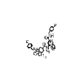 CC1(C(=O)NCc2ccc(F)cc2)CC=C(C(=O)Nc2cc(C(=O)NCc3ccc(F)cc3)nc3ccnn23)CC1